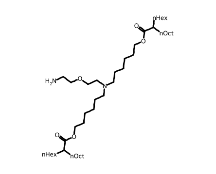 CCCCCCCCC(CCCCCC)C(=O)OCCCCCCN(CCCCCCOC(=O)C(CCCCCC)CCCCCCCC)CCOCCN